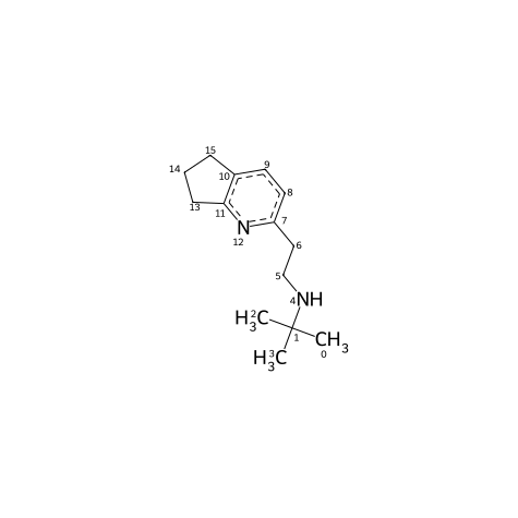 CC(C)(C)NCCc1ccc2c(n1)CCC2